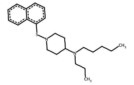 CCCCCN(CCC)C1CCN(Sc2cccc3ccccc23)CC1